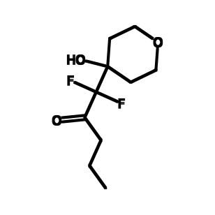 CCCC(=O)C(F)(F)C1(O)CCOCC1